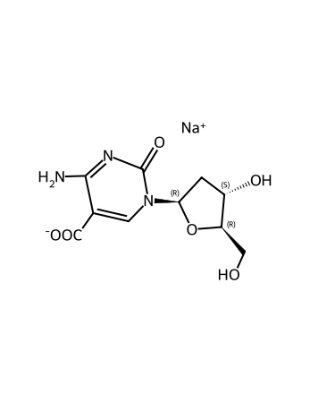 Nc1nc(=O)n([C@H]2C[C@H](O)[C@@H](CO)O2)cc1C(=O)[O-].[Na+]